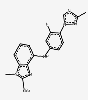 CCCCc1nc2c(Nc3ccc(-n4cnc(C)n4)c(F)c3)cccc2n1C